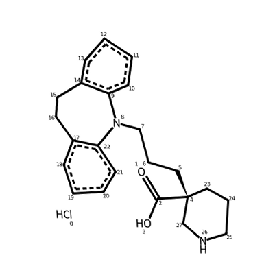 Cl.O=C(O)[C@]1(CCCN2c3ccccc3CCc3ccccc32)CCCNC1